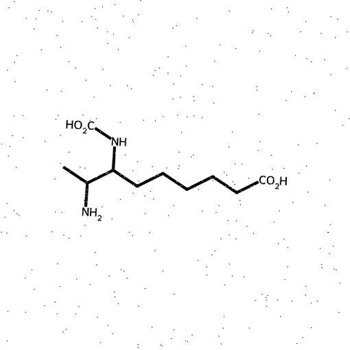 CC(N)C(CCCCCC(=O)O)NC(=O)O